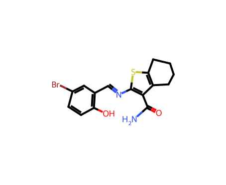 NC(=O)c1c(N=Cc2cc(Br)ccc2O)sc2c1CCCC2